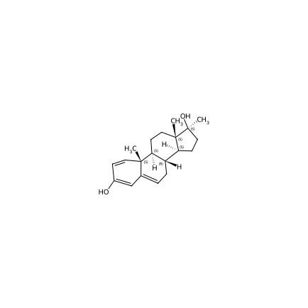 C[C@]12C=CC(O)=CC1=CC[C@@H]1[C@@H]2CC[C@@]2(C)[C@H]1CC[C@]2(C)O